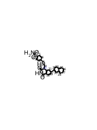 NS(=O)(=O)c1ccc(CN/C=C2\C(=O)NC(=O)c3ccc(-c4ccc5ccccc5c4)cc32)cc1